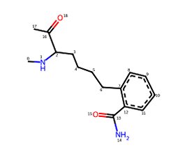 CNC(CCCCc1ccccc1C(N)=O)C(C)=O